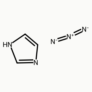 [N-]=[N+]=[N-].c1c[nH]cn1